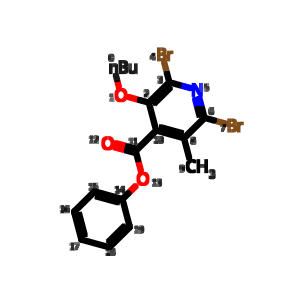 CCCCOc1c(Br)nc(Br)c(C)c1C(=O)Oc1ccccc1